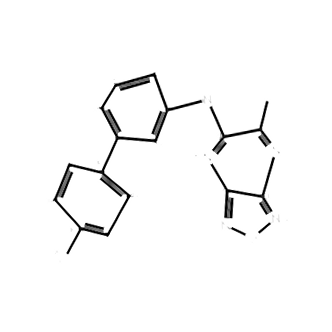 Oc1nc2nonc2nc1Nc1cccc(-c2ccc(C(F)(F)F)cc2)c1